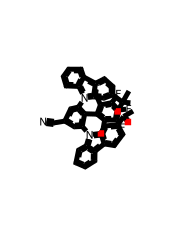 CC(C)(C)c1ccc2c3ccccc3n(-c3cc(C#N)cc(-n4c5ccccc5c5ccc(C(C)(C)C)cc54)c3-c3c(F)c(F)c(F)c(F)c3F)c2c1